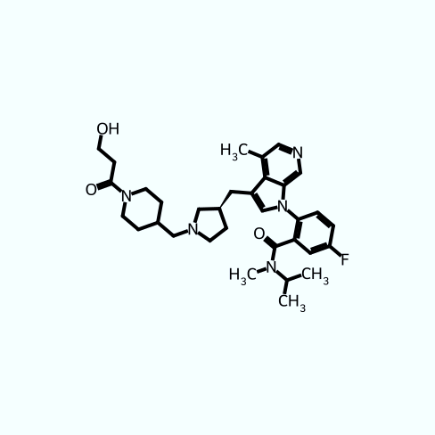 Cc1cncc2c1c(C[C@H]1CCN(CC3CCN(C(=O)CCO)CC3)C1)cn2-c1ccc(F)cc1C(=O)N(C)C(C)C